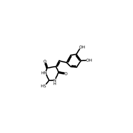 O=C1NC(S)NC(=O)C1=Cc1ccc(O)c(O)c1